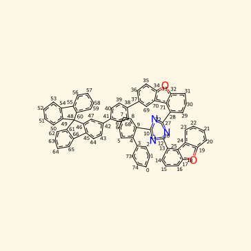 c1ccc(-c2ccccc2-c2nc(-c3cccc4oc5ccccc5c34)nc(-c3cccc4oc5ccc(-c6ccc(-c7ccc8c(c7)C7(c9ccccc9-c9ccccc97)c7ccccc7-8)cc6)cc5c34)n2)cc1